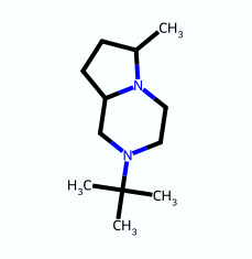 CC1CCC2CN(C(C)(C)C)CCN12